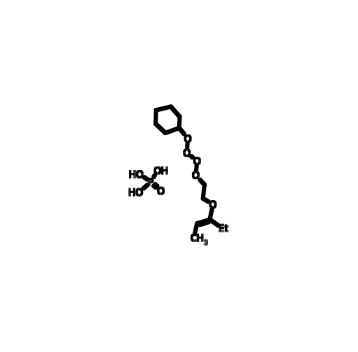 CC=C(CC)OCCOOOOC1CCCCC1.O=P(O)(O)O